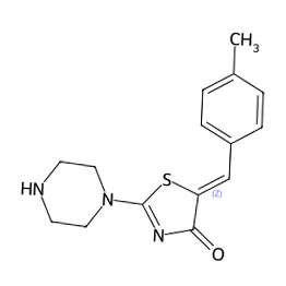 Cc1ccc(/C=C2\SC(N3CCNCC3)=NC2=O)cc1